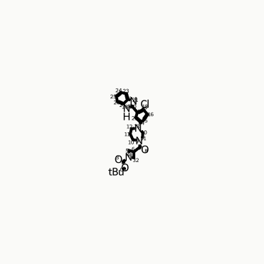 CC(C)(C)OC(=O)N1CC(C(=O)N2CCCN(c3ccc(Cl)c(-c4nc5ccccc5[nH]4)c3)CC2)C1